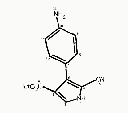 CCOC(=O)c1c[nH]c(C#N)c1-c1ccc(N)cc1